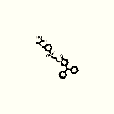 CC(Oc1cccc(S(=O)(=O)CCCn2cc(C(c3ccccc3)c3ccccc3)ccc2=O)c1)C(=O)O